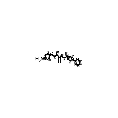 Nc1ccc(/C=C/C(=O)NCCC2(F)C3CN(c4ncccn4)CC32)cn1